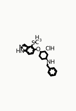 CSc1c(OC2CCC(NCc3ccccc3)CC2)ccc2[nH]ncc12.Cl